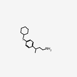 CC(CCN)c1ccc(SC2CCCCC2)cc1